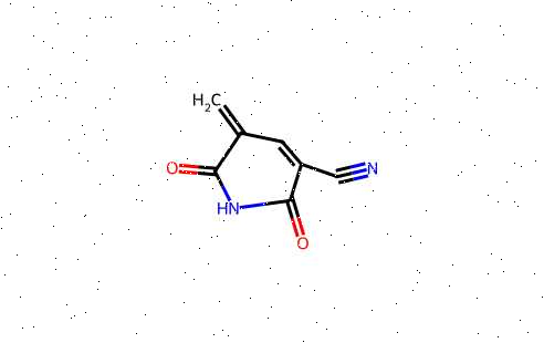 C=C1C=C(C#N)C(=O)NC1=O